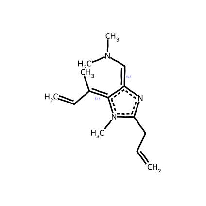 C=CCc1nc(=C/N(C)C)/c(=C(\C)C=C)n1C